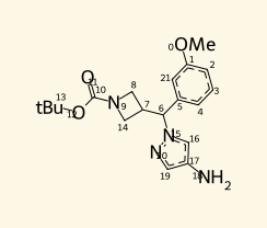 COc1cccc(C(C2CN(C(=O)OC(C)(C)C)C2)n2cc(N)cn2)c1